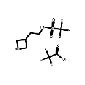 O=C(O)C(F)(F)F.O=S(=O)(NCCC1CNC1)C(F)(F)F